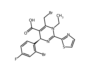 CCN1C(c2nccs2)=N[C@@H](c2ccc(F)cc2Br)C(C(=O)O)=C1CBr